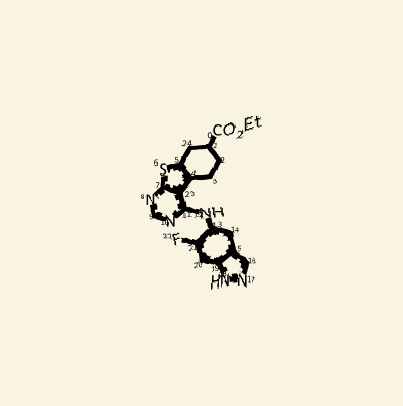 CCOC(=O)C1CCc2c(sc3ncnc(Nc4cc5cn[nH]c5cc4F)c23)C1